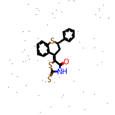 O=C1NC(=S)S/C1=C1/CC(c2ccccc2)Sc2ccccc21